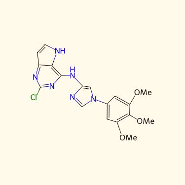 COc1cc(-n2cnc(Nc3nc(Cl)nc4cc[nH]c34)c2)cc(OC)c1OC